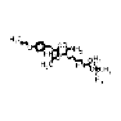 C=CCOc1ccc(C[C@H](NC(C)=O)C(=O)N[C@H](CCCCNC(=O)OC(C)(C)C)C(N)=O)cc1